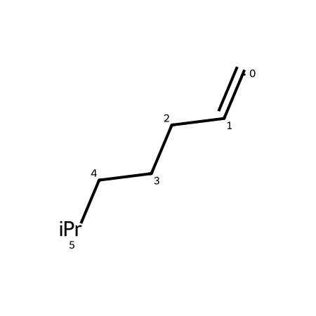 [CH]=CCCCC(C)C